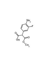 COC(=O)C(C(=O)O)c1ccc(N)c(F)c1